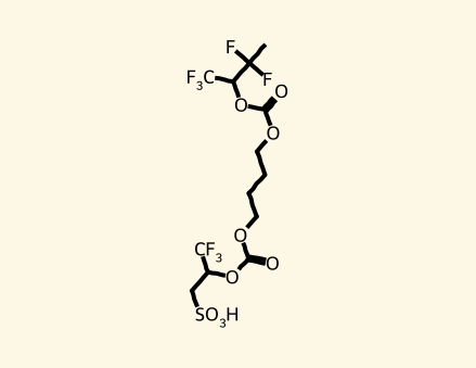 CC(F)(F)C(OC(=O)OCCCCOC(=O)OC(CS(=O)(=O)O)C(F)(F)F)C(F)(F)F